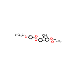 C=CC(=O)Oc1ccc2c(c1)C(C)c1cc(OC(=O)c3ccc(OCC(=O)O)cc3)ccc1-2